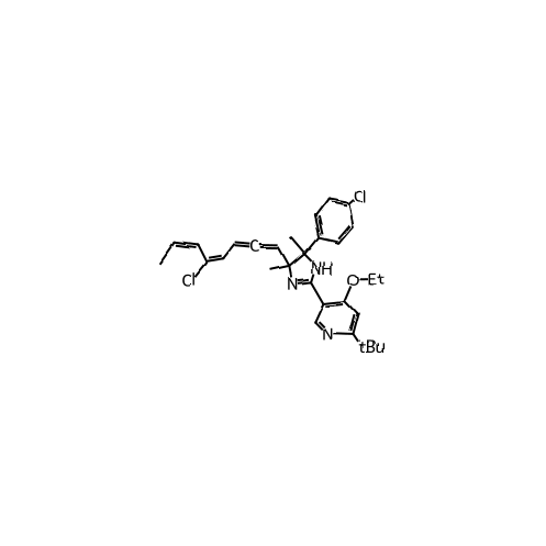 C/C=C\C(Cl)=C/C=C=CC1(C)N=C(c2cnc(C(C)(C)C)cc2OCC)NC1(C)c1ccc(Cl)cc1